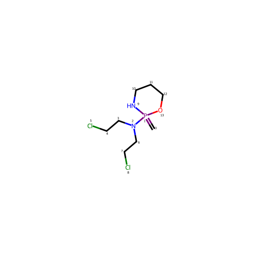 C=P1(N(CCCl)CCCl)NCCCO1